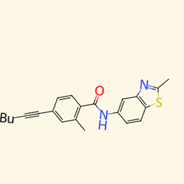 Cc1nc2cc(NC(=O)c3ccc(C#CC(C)(C)C)cc3C)ccc2s1